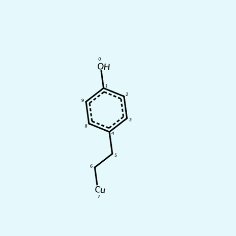 Oc1ccc(C[CH2][Cu])cc1